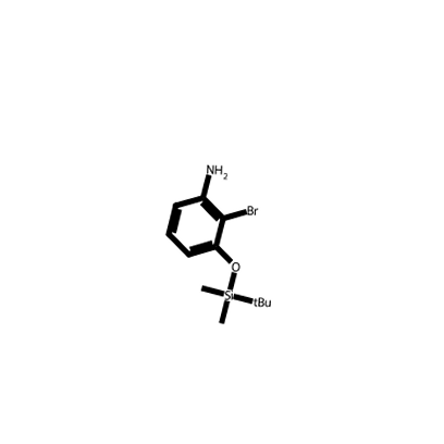 CC(C)(C)[Si](C)(C)Oc1cccc(N)c1Br